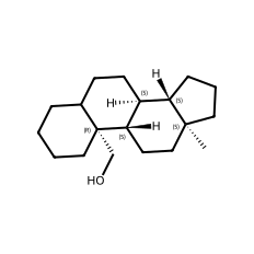 C[C@@]12CCC[C@H]1[C@@H]1CCC3CCCC[C@]3(CO)[C@H]1CC2